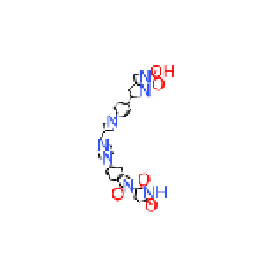 O=C1CCC(N2Cc3cc(N4CCN(CC5CN(c6ccc(-c7cnc8c(ccn8C(=O)O)c7)cc6)C5)CC4)ccc3C2=O)C(=O)N1